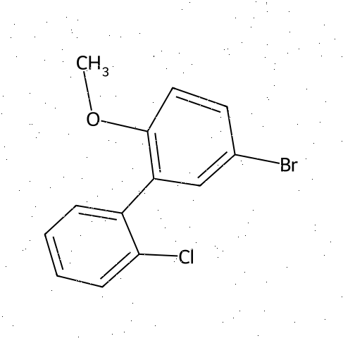 COc1ccc(Br)cc1-c1ccccc1Cl